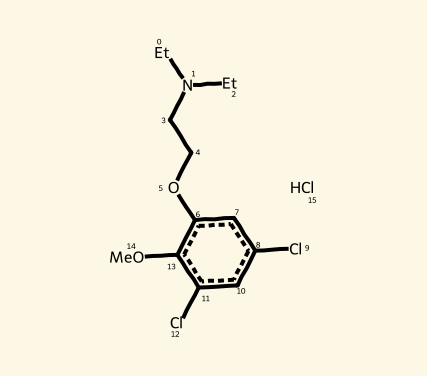 CCN(CC)CCOc1cc(Cl)cc(Cl)c1OC.Cl